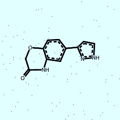 O=C1COc2ccc(-c3cc[nH]n3)cc2N1